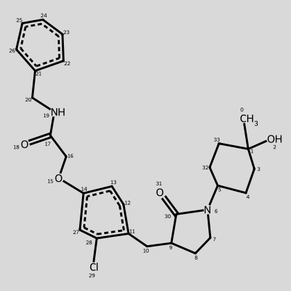 CC1(O)CCC(N2CCC(Cc3ccc(OCC(=O)NCc4ccccc4)cc3Cl)C2=O)CC1